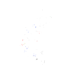 CCC1C2COc3c(cn(C)c3C(=O)Nc3ccc(F)c(C)c3)S(=O)(=O)NC2CN1C(=O)O